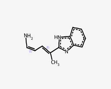 C/C(=C\C=C/N)c1nc2ccccc2[nH]1